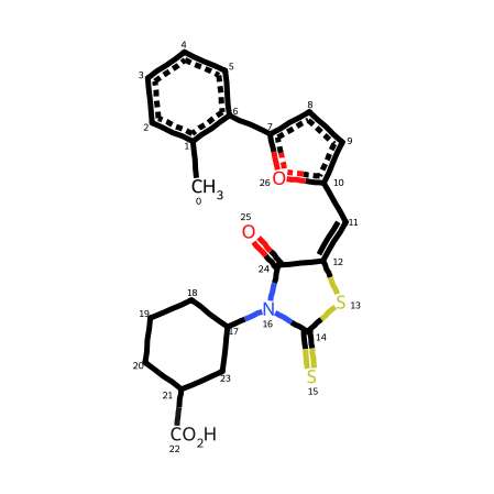 Cc1ccccc1-c1ccc(C=C2SC(=S)N(C3CCCC(C(=O)O)C3)C2=O)o1